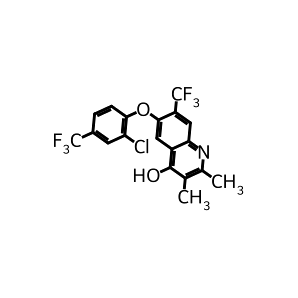 Cc1nc2cc(C(F)(F)F)c(Oc3ccc(C(F)(F)F)cc3Cl)cc2c(O)c1C